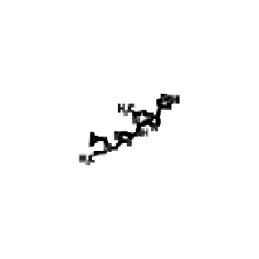 CCCN(Cc1ncc(Nc2nc(C)cn3c(-c4cn[nH]c4)cnc23)s1)CC1CC1